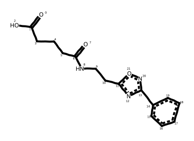 O=C(O)CCCC(=O)NCCc1nc(-c2ccccc2)no1